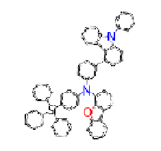 c1ccc(-n2c3ccccc3c3c(-c4cccc(N(c5ccc([Si](c6ccccc6)(c6ccccc6)c6ccccc6)cc5)c5cccc6c5oc5ccccc56)c4)cccc32)cc1